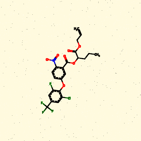 C=CCOC(=O)C(CCC)OC(=O)c1cc(Oc2c(F)cc(C(F)(F)F)cc2Cl)ccc1[N+](=O)[O-]